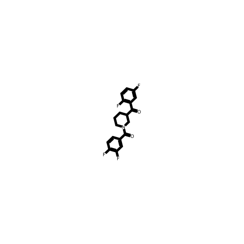 O=C(c1cc(F)ccc1F)C1CCCN(C(=O)c2ccc(F)c(F)c2)C1